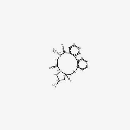 C[C@@H]1C[C@H]2COc3ccccc3-c3ccccc3C(=O)N(C)CC(=O)N2C1